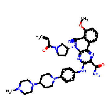 C=CC(=O)N1CC[C@@H](Nc2nc(Nc3ccc(N4CCC(N5CCN(C)CC5)CC4)cc3)c(C(N)=O)nc2-c2cccc(OC)c2C#N)C1